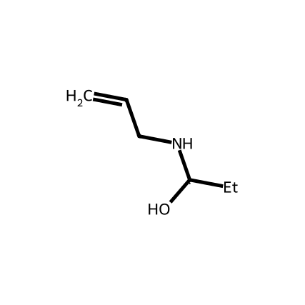 C=CCN[C](O)CC